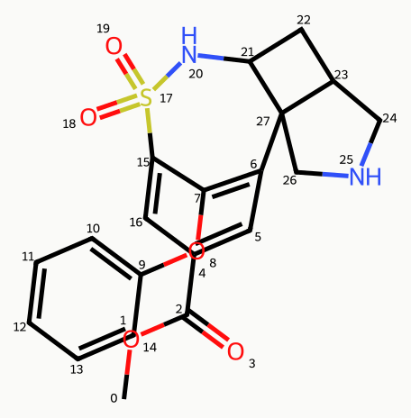 COC(=O)c1cc2c(Oc3ccccc3)c(c1)S(=O)(=O)NC1CC3CNCC231